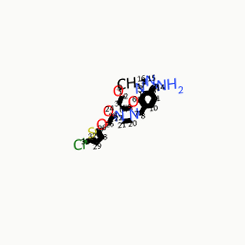 COCC[C@H]1C(=O)N(Cc2ccc3c(N)ncnc3c2)CCN1C(=O)COc1ccc(Cl)s1